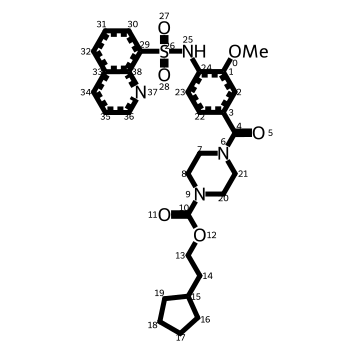 COc1cc(C(=O)N2CCN(C(=O)OCCC3CCCC3)CC2)ccc1NS(=O)(=O)c1cccc2cccnc12